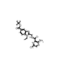 CCn1c(CNC(=O)c2nc(Cl)cnc2N)nc2cc(C(=O)OC(C)(C)C)ccc21